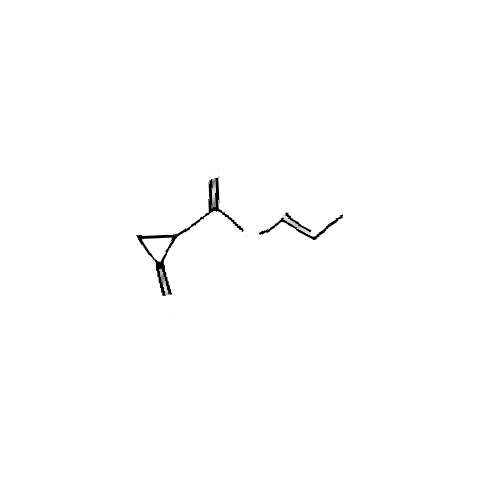 CC=COC(=O)C1CC1=S